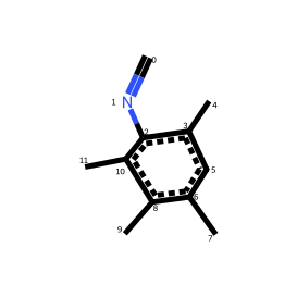 C=Nc1c(C)cc(C)c(C)c1C